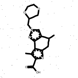 Cc1c(C(=O)O)oc2c1-c1nn(CC3COCCO3)cc1C(C)C2